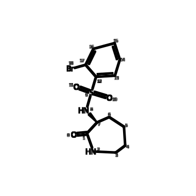 O=C1NCCCC[C@@H]1NS(=O)(=O)c1ccccc1Br